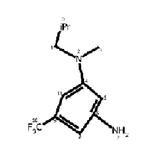 CC(C)CN(C)c1cc(N)cc(C(F)(F)F)c1